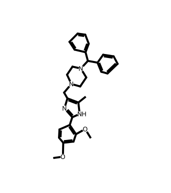 COc1ccc(-c2nc(CN3CCN(C(c4ccccc4)c4ccccc4)CC3)c(C)[nH]2)c(OC)c1